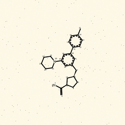 C=C(C(C)C)C1CC[C@H](Cc2cc(-c3ccc(C)cc3)cc(N3CCCCC3)c2)C1